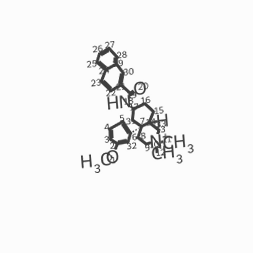 COc1cccc([C@@]23CC[N+](C)(C)C[C@H]2CC[C@H](NC(=O)c2ccc4ccccc4c2)C3)c1